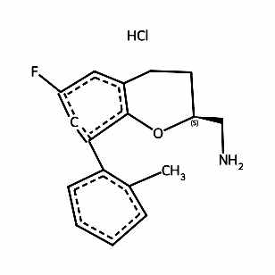 Cc1ccccc1-c1cc(F)cc2c1O[C@H](CN)CC2.Cl